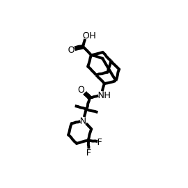 CC(C)(C(=O)NC1C2CC3CC1CC(C(=O)O)(C3)C2)N1CCCC(F)(F)C1